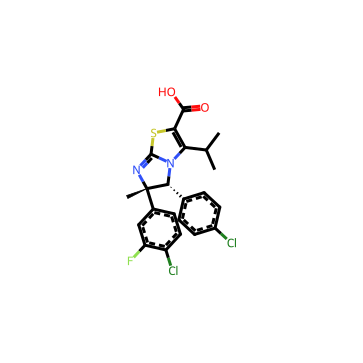 CC(C)C1=C(C(=O)O)SC2=N[C@@](C)(c3ccc(Cl)c(F)c3)[C@@H](c3ccc(Cl)cc3)N21